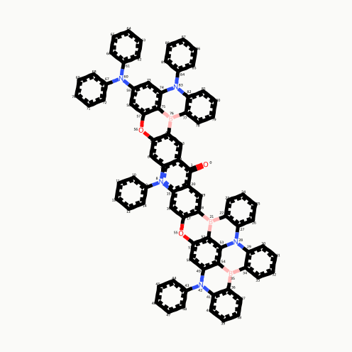 O=c1c2cc3c(cc2n(-c2ccccc2)c2cc4c(cc12)B1c2ccccc2N2c5ccccc5B5c6ccccc6N(c6ccccc6)c6cc(c1c2c65)O4)Oc1cc(N(c2ccccc2)c2ccccc2)cc2c1B3c1ccccc1N2c1ccccc1